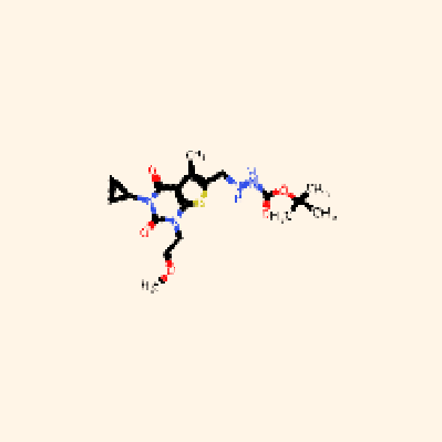 COCCn1c(=O)n(C2CC2)c(=O)c2c(C)c(CNNC(=O)OC(C)(C)C)sc21